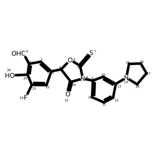 O=Cc1cc(C2OC(=S)N(c3cccc(N4CCCC4)c3)C2=O)cc(F)c1O